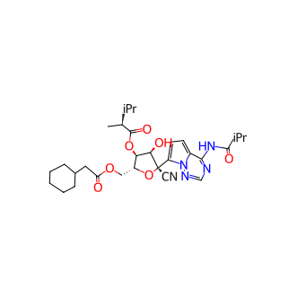 CC(C)C(=O)Nc1ncnn2c([C@]3(C#N)O[C@H](COC(=O)CC4CCCCC4)[C@@H](OC(=O)[C@@H](C)C(C)C)[C@H]3O)ccc12